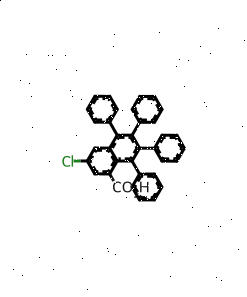 O=C(O)c1cc(Cl)cc2c(-c3ccccc3)c(-c3ccccc3)c(-c3ccccc3)c(-c3ccccc3)c12